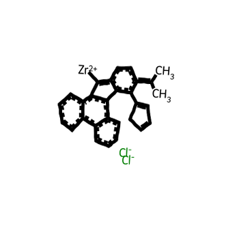 CC(C)=c1ccc2c(c1C1=CC=CC1)-c1c(c3ccccc3c3ccccc13)[C]=2[Zr+2].[Cl-].[Cl-]